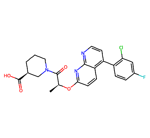 C[C@H](Oc1ccc2c(-c3ccc(F)cc3Cl)ccnc2n1)C(=O)N1CCC[C@H](C(=O)O)C1